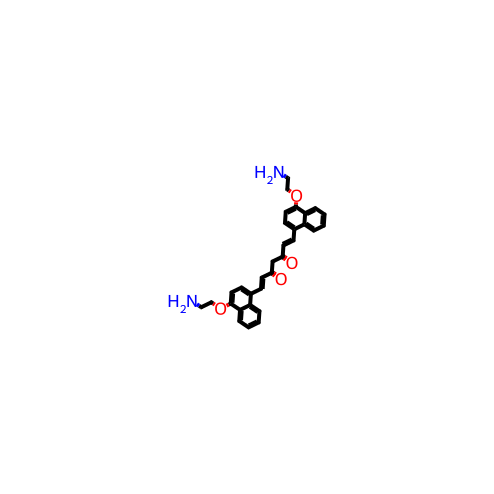 NCCOc1ccc(/C=C/C(=O)CC(=O)/C=C/c2ccc(OCCN)c3ccccc23)c2ccccc12